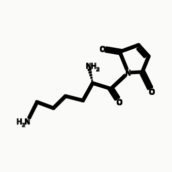 NCCCC[C@H](N)C(=O)N1C(=O)C=CC1=O